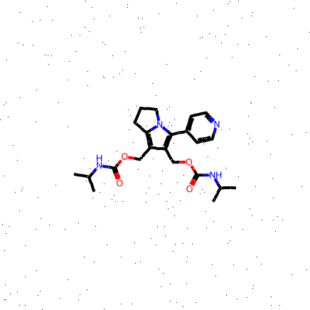 CC(C)NC(=O)OCc1c(COC(=O)NC(C)C)c(-c2ccncc2)n2c1CCC2